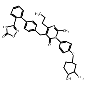 CCCc1nc(C)n(-c2ccc(OC3CCC(O)C(C)C3)cc2)c(=O)c1Cc1ccc(-c2ccccc2-c2noc(=O)[nH]2)cc1